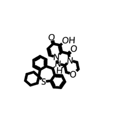 O=C1c2c(O)c(=O)ccn2N([C@@H]2c3ccccc3SC3(CCCCC3)c3ccccc32)[C@@H]2COCCN12